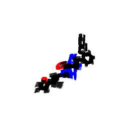 Cc1ccccc1[C@@H](N)CC(=O)NCCc1ccco1